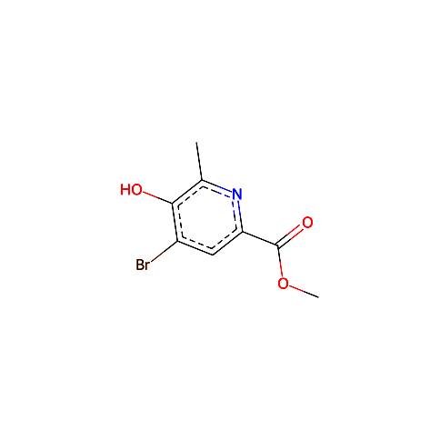 COC(=O)c1cc(Br)c(O)c(C)n1